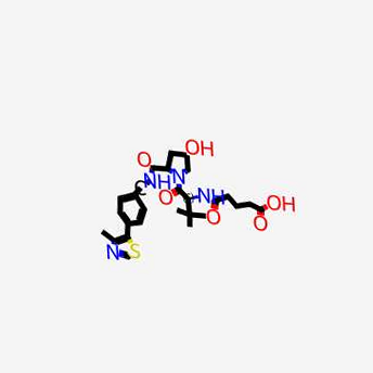 Cc1ncsc1-c1ccc(CNC(=O)C2CC(O)CN2C(=O)[C@@H](NC(=O)CCCC(=O)O)C(C)(C)C)cc1